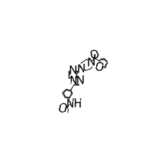 CC(=O)Nc1cccc(-c2cnc3c(N4CCN(C(=O)c5ccco5)CC4)nccn23)c1